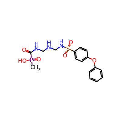 CP(=O)(O)C(=O)NCNCNS(=O)(=O)c1ccc(Oc2ccccc2)cc1